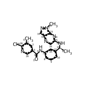 Cc1cc(C(=O)Nc2cccc([C@H](C)Nc3cnc4cnn(C)c4n3)c2)cnc1Cl